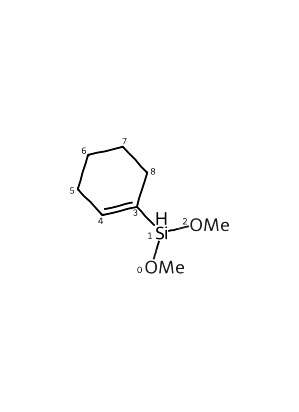 CO[SiH](OC)C1=CCCCC1